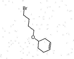 BrCCCCOC1CC=CCC1